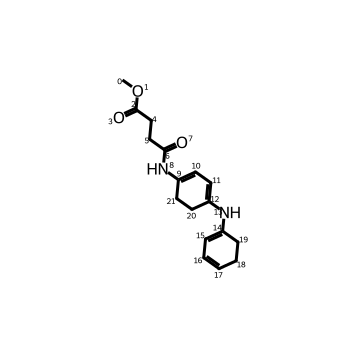 COC(=O)CCC(=O)NC1=CC=C(NC2=CC=CCC2)CC1